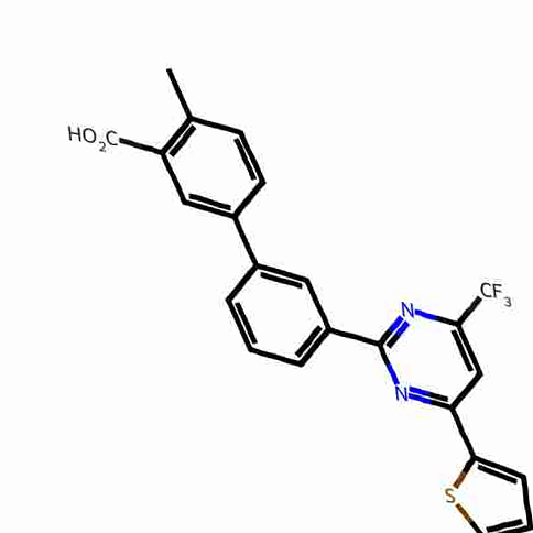 Cc1ccc(-c2cccc(-c3nc(-c4cccs4)cc(C(F)(F)F)n3)c2)cc1C(=O)O